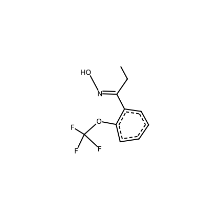 CCC(=NO)c1ccccc1OC(F)(F)F